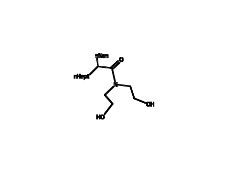 CCCCCCCCCC(CCCCCCC)C(=O)N(CCO)CCO